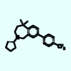 CC1(C)CCN(C2CCCC2)Cc2cc(-c3ccc(C(F)(F)F)cc3)ccc21